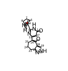 O=c1[nH]c([C@@H]2CC3CCN2CC3)nc2c3c(oc12)-c1c[nH]nc1CCC3